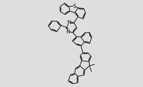 CC1(C)c2ccc(-c3ccc(-c4cc(-c5cccc6sc7ccccc7c56)nc(-c5ccccc5)n4)c4ccccc34)cc2-c2cc3ccccc3cc21